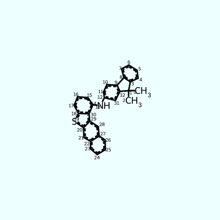 CC1(C)c2ccccc2-c2ccc(Nc3cccc4sc5cc6ccccc6cc5c34)cc21